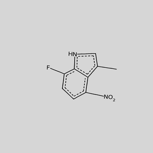 Cc1c[nH]c2c(F)ccc([N+](=O)[O-])c12